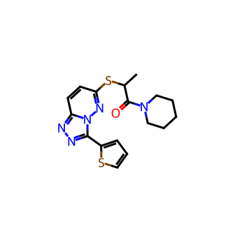 CC(Sc1ccc2nnc(-c3cccs3)n2n1)C(=O)N1CCCCC1